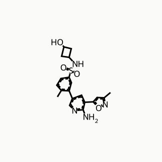 Cc1cc(-c2cc(-c3cc(S(=O)(=O)NC4CC(O)C4)ccc3C)cnc2N)on1